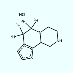 Cl.[2H]C1([2H])c2ccsc2C2CNCCN2C1([2H])[2H]